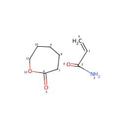 C=CC(N)=O.O=C1CCCCCO1